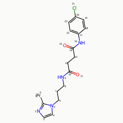 CC(C)c1nccn1CCCNC(=O)CCC(=O)Nc1ccc(Cl)cc1